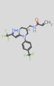 C=CC(=O)NC[C@H]1CN(c2ccc(C(F)(F)F)cc2)c2cc(C(F)(F)F)nn2C1